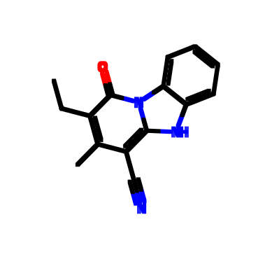 CCc1c(C)c(C#N)c2[nH]c3ccccc3n2c1=O